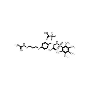 Cc1c(C)c(C)c(S(=O)(=O)N[C@@H](Cc2ccc(OCCCONC(=N)N)cc2)C(=O)O)c(C)c1C.O=C(O)C(F)(F)F